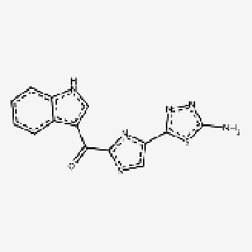 Nc1nnc(-c2csc(C(=O)c3c[nH]c4ccccc34)n2)s1